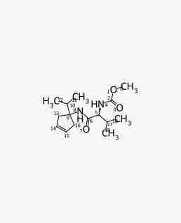 COC(=O)N[C@H](C(=O)NC1(C(C)C)CC=CC1)C(C)C